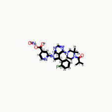 CC(C)C(=O)N1CCN(c2ncnc3c2c(-c2ccccc2F)cn3-c2cc(C(=O)ON=O)ccn2)CC1(C)C